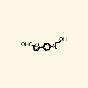 CN(CCO)c1ccc(-c2ccc(C=O)o2)cc1